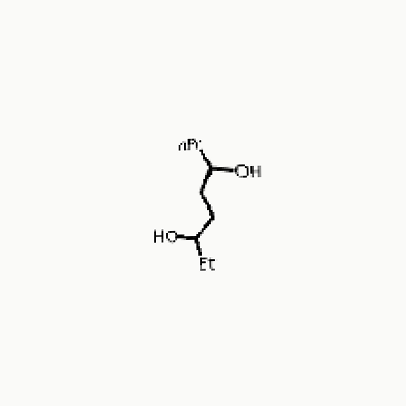 [CH2]CCC(O)CCC(O)CC